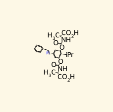 CC(NC(=O)Oc1cc(/C=C/c2ccccc2)cc(OC(=O)NC(C)C(=O)O)c1C(C)C)C(=O)O